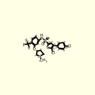 CN1CC[C@@H](Oc2cc(NS(=O)(=O)c3cc(-c4ccc(Cl)cc4)c(Cl)s3)ccc2C(F)(F)F)C1